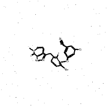 CN1CCc2c(Cc3ccc(Br)c(Oc4cc(Cl)cc(C#N)c4)c3F)n[nH]c2C1=O